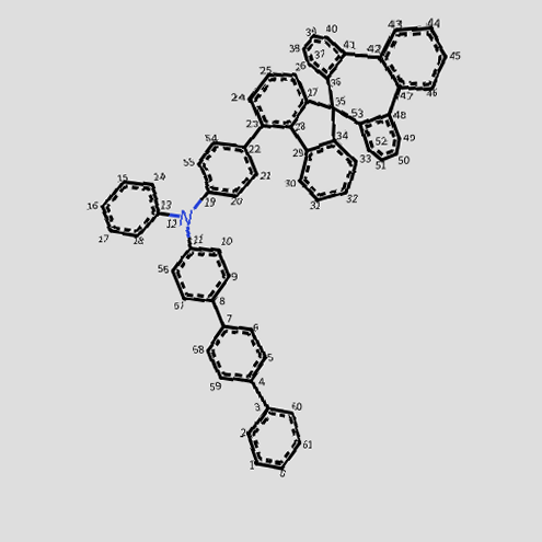 c1ccc(-c2ccc(-c3ccc(N(c4ccccc4)c4ccc(-c5cccc6c5-c5ccccc5C65c6ccccc6-c6ccccc6-c6ccccc65)cc4)cc3)cc2)cc1